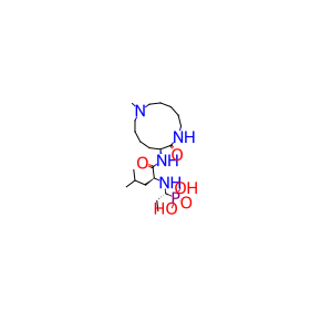 CC[C@H](N[C@@H](CC(C)C)C(=O)N[C@H]1CCCCN(C)CCCCCNC1=O)P(=O)(O)O